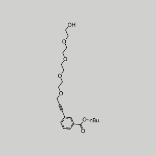 CCCCOC(=O)c1cccc(C#CCOCCOCCOCCOCCO)c1